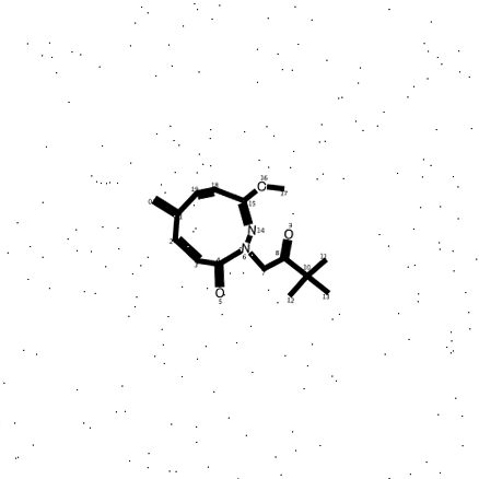 C=C1/C=C\C(=O)N(CC(=O)C(C)(C)C)/N=C(OC)\C=C/1